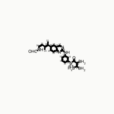 BC(B)=C(B)C(=O)N(CC)c1cccc(Nc2ncc3cc(/C(C)=C(C)/C=C\NC=O)ccc3n2)c1